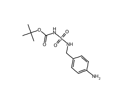 CC(C)(C)OC(=O)NS(=O)(=O)NCc1ccc(N)cc1